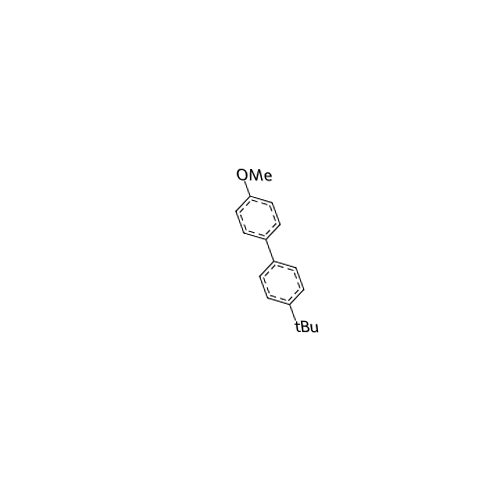 COc1ccc(-c2ccc(C(C)(C)C)cc2)cc1